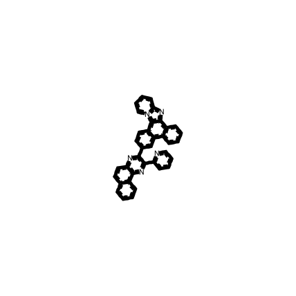 c1ccc(-c2nc3c(ccc4ccccc43)nc2-c2ccc3c(c2)c2ccccc2c2nc4ccccn4c32)nc1